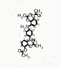 CC(=O)Oc1cccc([SiH2]c2ccc([SiH2]c3cccc(OC(C)=O)c3OC(C)=O)cc2)c1OC(C)=O